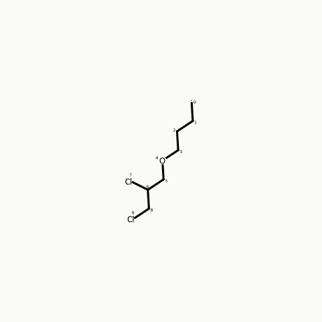 [CH2]CCCOCC(Cl)CCl